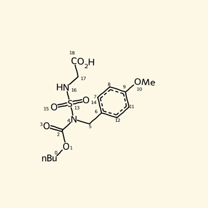 CCCCOC(=O)N(Cc1ccc(OC)cc1)S(=O)(=O)NCC(=O)O